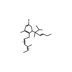 C/C=C(C)\C=C/CC1=C(C)C=C(F)CC1C(C)(C=CCC)C(C)C